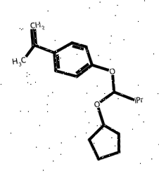 C=C(C)c1ccc(OC(OC2CCCC2)C(C)C)cc1